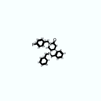 O=C1CC[C@H](N(Cc2ccccc2)CC2C=CC=CC2)CN1Cc1ccc(F)cc1